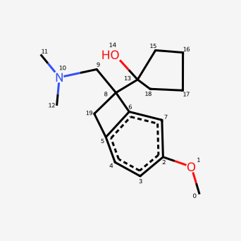 COc1ccc2c(c1)C(CN(C)C)(C1(O)CCCC1)C2